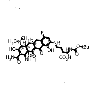 CN(C)[C@@H]1C(O)=C(C(N)=O)C(=N)[C@@]2(O)C(O)=C3C(=O)c4c(O)c(NCCC[C@H](NC(=O)OC(C)(C)C)C(=O)O)cc(F)c4C[C@H]3C[C@@H]12